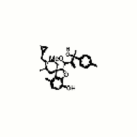 C=C(C(OC)[C@@H]1Oc2c(O)ccc(C)c2[C@@]12CCN(CC1CC1)[C@H](C)C2)C(C)(O)c1ccc(C)cc1